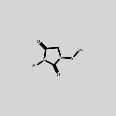 CC(C)SN1CC(=O)N(C(C)C)C1=O